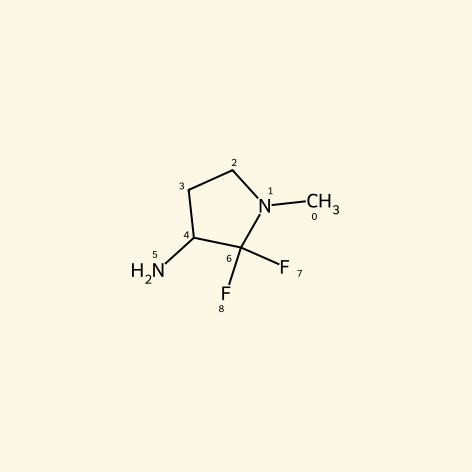 CN1CCC(N)C1(F)F